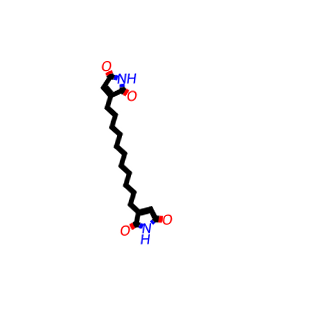 O=C1C=C(CCCCCCCCCCCC2=CC(=O)NC2=O)C(=O)N1